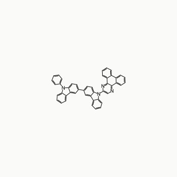 c1ccc(-n2c3ccccc3c3cc(-c4ccc5c(c4)c4ccccc4n5-c4cnc5c6ccccc6c6ccccc6c5n4)ccc32)cc1